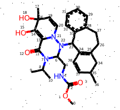 COC(=O)NCC1N(C(C)C)C(=O)C2=C(O)C(C)(O)C=CN2N1C1C2=C(CCc3ccccc31)CC(C)C=C2